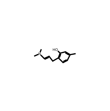 Cc1ccc(C/C=C/N(C)C)c(O)c1